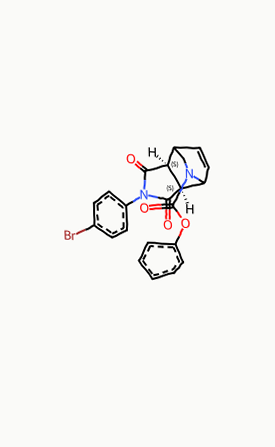 O=C1[C@@H]2C3C=CC(CN3C(=O)Oc3ccccc3)[C@@H]2C(=O)N1c1ccc(Br)cc1